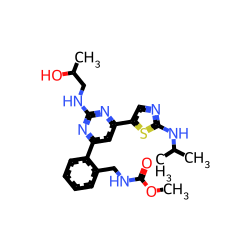 COC(=O)NCc1ccccc1-c1cc(-c2cnc(NC(C)C)s2)nc(NCC(C)O)n1